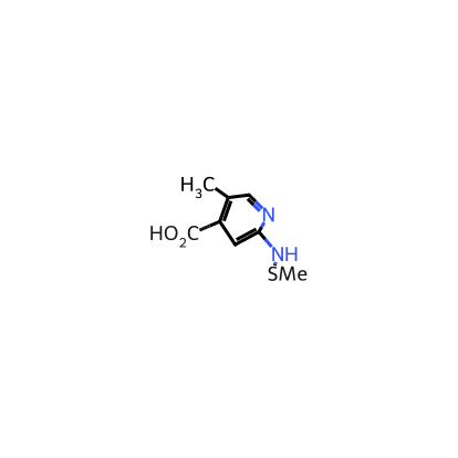 CSNc1cc(C(=O)O)c(C)cn1